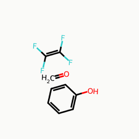 C=O.FC(F)=C(F)F.Oc1ccccc1